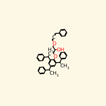 CC(c1ccccc1)c1cc(C(C)c2ccccc2)c(OCC(O)COC=C=Cc2ccccc2)c(C(C)c2ccccc2)c1